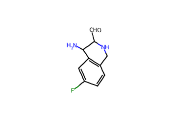 NC1c2cc(F)ccc2CNC1C=O